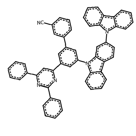 N#Cc1cccc(-c2cc(-c3cc(-c4ccccc4)nc(-c4ccccc4)n3)cc(-n3c4ccccc4c4ccc(-n5c6ccccc6c6ccccc65)cc43)c2)c1